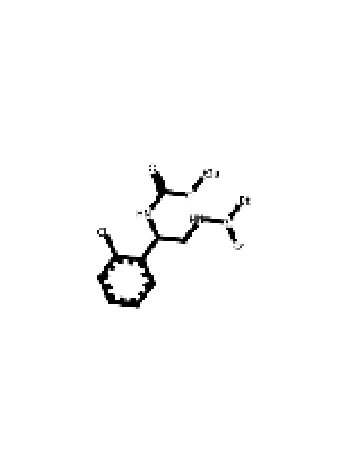 CC[S+]([O-])NCC(NC(=O)OC(C)(C)C)c1ccccc1Cl